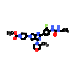 CCNC(=O)Nc1ccc(-c2nc3c(c(N4CCOC[C@@H]4C)n2)CN(C2CCN(C(=O)OC)CC2)C3)cc1F